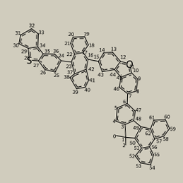 CC1(C)c2ccc(-c3ccc4oc5ccc(-c6c7ccccc7c(-c7ccc8sc9ccccc9c8c7)c7ccccc67)cc5c4c3)cc2-c2c1c1ccccc1c1ccccc21